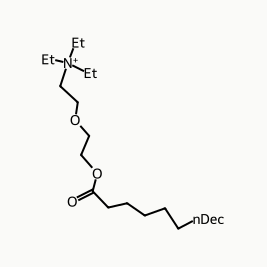 CCCCCCCCCCCCCCCC(=O)OCCOCC[N+](CC)(CC)CC